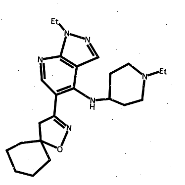 CCN1CCC(Nc2c(C3=NOC4(CCCCC4)C3)cnc3c2cnn3CC)CC1